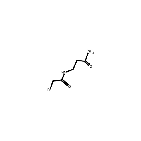 CC(C)CC(=O)NCCC(N)=O